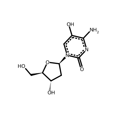 Nc1nc(=O)n([C@H]2C[C@H](O)[C@@H](CO)O2)cc1O